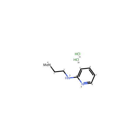 CNCCNc1ccccn1.Cl.Cl